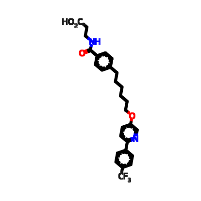 O=C(O)CCNC(=O)c1ccc(CCCCCCOc2ccc(-c3ccc(C(F)(F)F)cc3)nc2)cc1